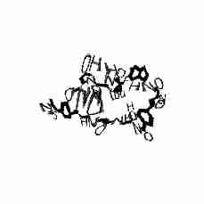 Cc1ncsc1-c1ccc([C@H](CC(=O)NCC(=O)NCCN(C)C(=O)c2ccc(-c3cc(C(=O)N[C@@H]4CCc5ccccc54)no3)cc2O)NC(=O)[C@@H]2C[C@@H](O)CN2C(=O)[C@@H](NC(=O)C2(F)CC2)C(C)(C)C)cc1